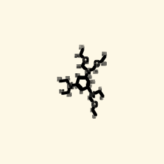 CCOCN(CC)c1cc(N(CC)CC)cc(N(COCC)COCC)c1